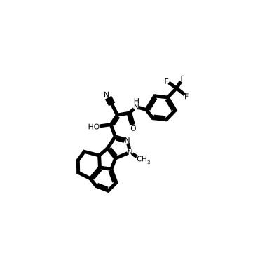 Cn1nc(C(O)=C(C#N)C(=O)Nc2cccc(C(F)(F)F)c2)c2c1-c1cccc3c1C2CCC3